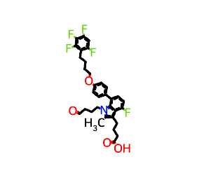 Cc1c(CCCC(=O)O)c2c(F)ccc(-c3ccc(OCCCCc4c(F)cc(F)c(F)c4F)cc3)c2n1CCCC=O